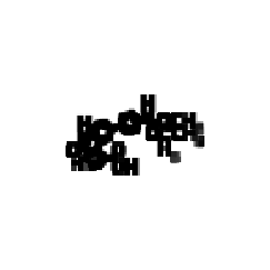 CC(C)(C)OC(=O)Nc1ccc(-c2ccc3[nH]c(=O)c4[nH]cc(C(=O)O)c4c3c2)cc1